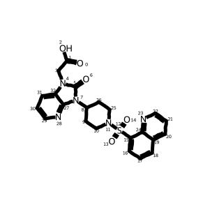 O=C(O)Cn1c(=O)n(C2CCN(S(=O)(=O)c3cccc4cccnc34)CC2)c2ncccc21